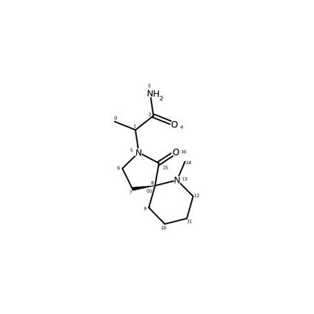 CC(C(N)=O)N1CC[C@@]2(CCCCN2C)C1=O